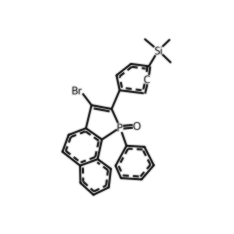 C[Si](C)(C)c1ccc(C2=C(Br)c3ccc4ccccc4c3P2(=O)c2ccccc2)cc1